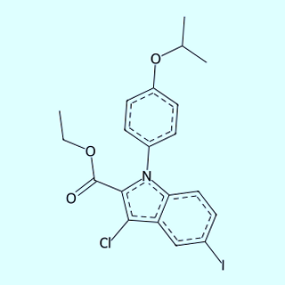 CCOC(=O)c1c(Cl)c2cc(I)ccc2n1-c1ccc(OC(C)C)cc1